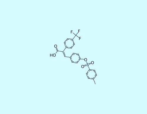 Cc1ccc(S(=O)(=O)Oc2ccc(/C=C(/C(=O)O)c3ccc(C(F)(F)F)cc3)cc2)cc1